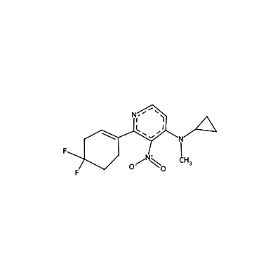 CN(c1ccnc(C2=CCC(F)(F)CC2)c1[N+](=O)[O-])C1CC1